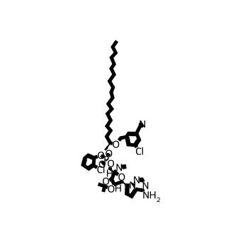 C=N[C@]1(COP(=O)(OC[C@@H](CCCCCCCCCCCCCCCCCC)OCc2cc(Cl)cc(C#N)c2)Oc2ccccc2Cl)O[C@@H](c2ccc3c(N)ncnn23)[C@@H]2OC(C)(C)O[C@@H]21